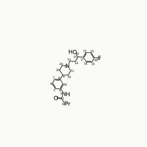 CC(C)C(=O)Nc1cccc(C2CCN(CCC(O)c3ccc(F)cc3)CC2)c1